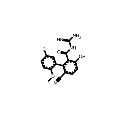 COc1ccc(Cl)cc1-c1c(C#N)ccc(O)c1C(=O)NC(=N)N